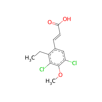 CCc1c(C=CC(=O)O)cc(Cl)c(OC)c1Cl